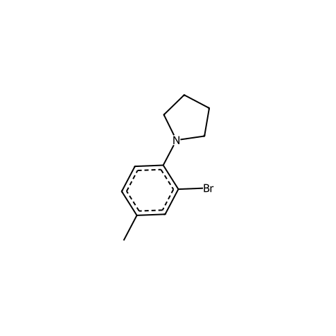 Cc1ccc(N2CCCC2)c(Br)c1